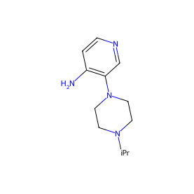 CC(C)N1CCN(c2cnccc2N)CC1